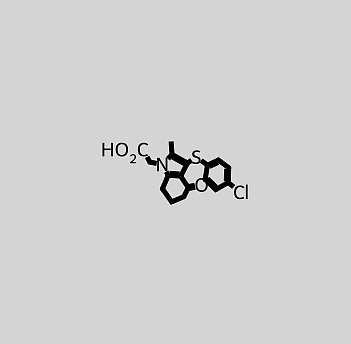 Cc1c(Sc2ccc(Cl)cc2)c2c(n1CC(=O)O)CCCC2=O